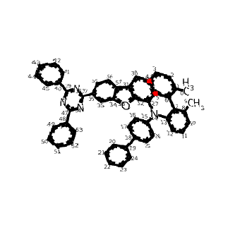 Cc1ccccc1-c1c(C)cccc1N(c1ccc(-c2ccccc2)cc1)c1cccc2c1oc1cc(-c3nc(-c4ccccc4)nc(-c4ccccc4)n3)ccc12